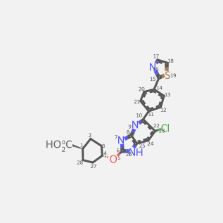 O=C(O)[C@H]1CC[C@H](Oc2nc3nc(-c4ccc(-c5nccs5)cc4)c(Cl)cc3[nH]2)CC1